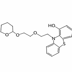 Oc1cccc2c1N(CCOCCOC1CCCCO1)c1ccccc1S2